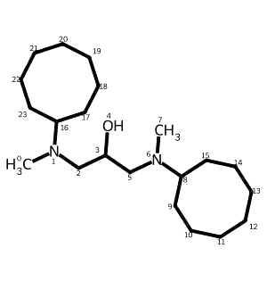 CN(CC(O)CN(C)C1CCCCCCC1)C1CCCCCCC1